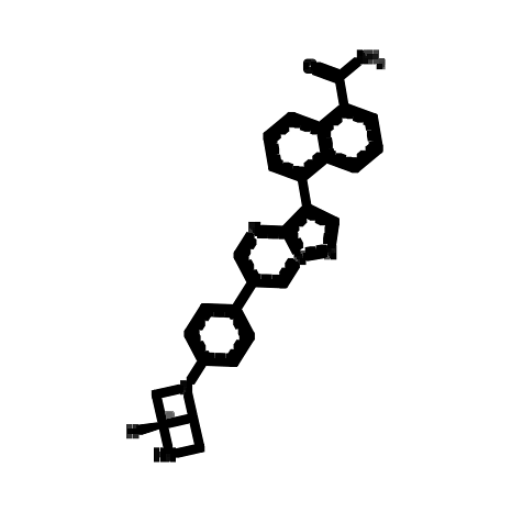 NC(=O)c1cccc2c(-c3cnn4cc(-c5ccc(N6C[C@H]7NCC76)cc5)cnc34)cccc12